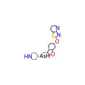 c1cnc2nc(Oc3ccc4c(C[AsH]C5CCNCC5)coc4c3)sc2c1